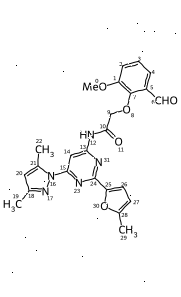 COc1cccc(C=O)c1OCC(=O)Nc1cc(-n2nc(C)cc2C)nc(-c2ccc(C)o2)n1